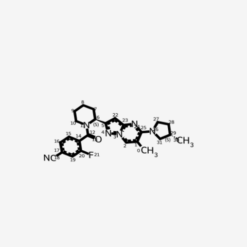 Cc1cn2nc([C@@H]3CCCCN3C(=O)c3ccc(C#N)cc3F)cc2nc1N1CC[C@H](C)C1